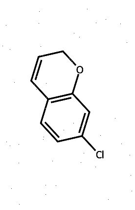 Clc1ccc2c(c1)OCC=C2